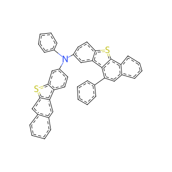 c1ccc(-c2cc3ccccc3c3sc4ccc(N(c5ccccc5)c5ccc6c(c5)sc5cc7ccccc7cc56)cc4c23)cc1